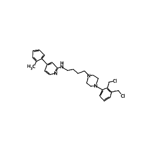 Cc1ccccc1-c1ccnc(NCCCCN2CCN(c3cccc(CCl)c3CCl)CC2)c1